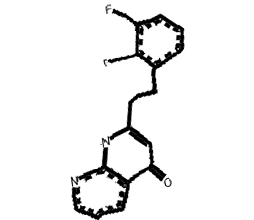 O=C1C=C(CCc2cccc(F)c2F)[N]c2ncccc21